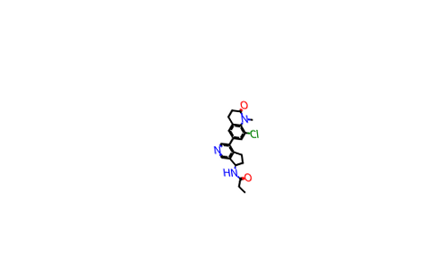 CCC(=O)N[C@@H]1CCc2c(-c3cc(Cl)c4c(c3)CCC(=O)N4C)cncc21